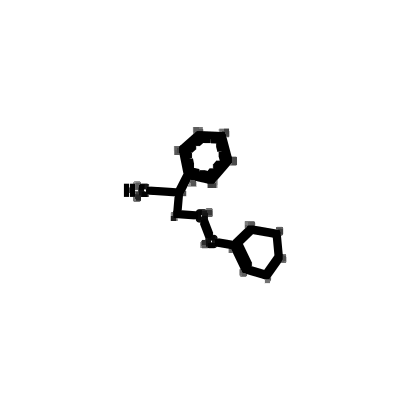 CC(COOC1=CCCCC1)c1ccccc1